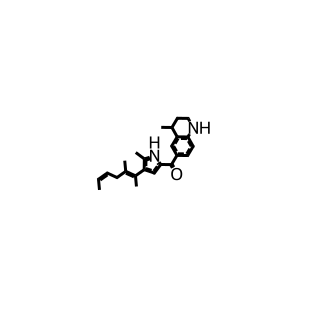 C/C=C\C/C(C)=C(\C)c1cc(C(=O)c2ccc3c(c2)C(C)CCN3)[nH]c1C